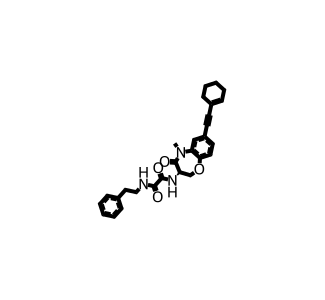 CN1C(=O)[C@@H](NC(=O)C(=O)NCCc2ccccc2)COc2ccc(C#CC3=CCCCC3)cc21